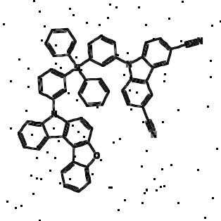 N#Cc1ccc2c(c1)c1cc(C#N)ccc1n2-c1cccc([Si](c2ccccc2)(c2ccccc2)c2cccc(-n3c4ccccc4c4c5c(ccc43)oc3ccccc35)c2)c1